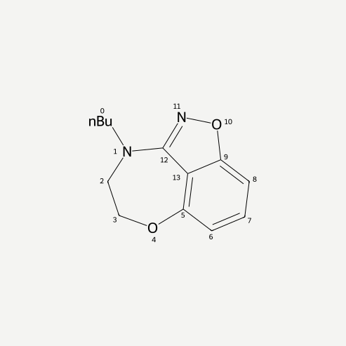 CCCCN1CCOc2cccc3onc1c23